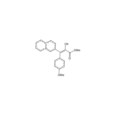 COC(=O)/C(C#N)=C(\c1ccc(OC)cc1)c1ccc2ccccc2c1